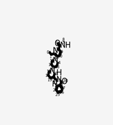 CCc1nc(C(=O)NC)ccc1N1CCC(N2CCCC(c3nc4ccccc4c(=O)[nH]3)C2)CC1